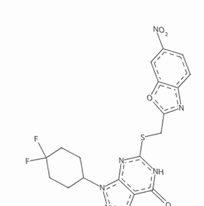 O=c1[nH]c(SCc2nc3ccc([N+](=O)[O-])cc3o2)nc2c1cnn2C1CCC(F)(F)CC1